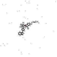 CC#CCOc1ccc2c(c1)C(=O)N(C[C@@]1(c3ccc(-c4cnn5ccccc45)cc3)NC(=O)NC1=O)C2